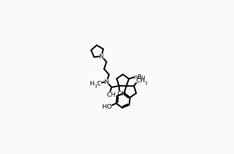 CCCCC1CCC(C)(C(C)N(C)CCCN2CCCC2)C12c1cc(O)ccc1CC2C